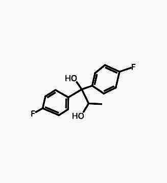 CC(O)C(O)(c1ccc(F)cc1)c1ccc(F)cc1